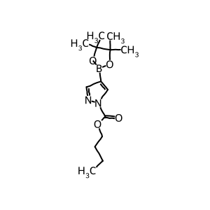 CCCCOC(=O)n1cc(B2OC(C)(C)C(C)(C)O2)cn1